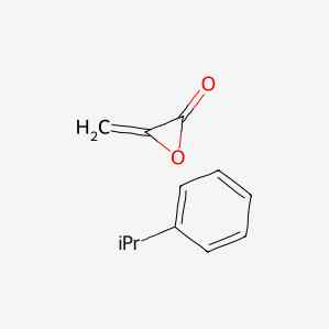 C=C1OC1=O.CC(C)c1ccccc1